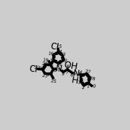 Cc1ccc(NCC(O)CN2c3ccc(Cl)cc3C3(C)C=C(Cl)CC(C)C23)cc1